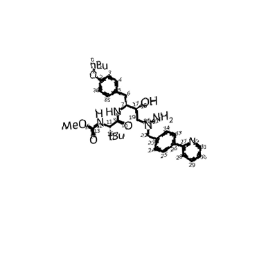 CCCCOc1ccc(C[C@H](NC(=O)[C@@H](NC(=O)OC)C(C)(C)C)[C@@H](O)CN(N)Cc2ccc(-c3ccccn3)cc2)cc1